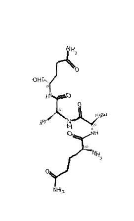 CC[C@H](C)[C@H](NC(=O)[C@@H](N)CCC(N)=O)C(=O)N[C@H](C(=O)N[C@H]([C]=O)CCC(N)=O)C(C)C